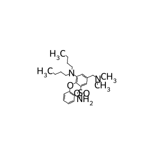 CCCCN(CCCC)c1cc(CN(C)C)cc(S(N)(=O)=O)c1Oc1ccccc1